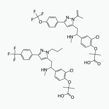 C=C(C)n1nc(-c2ccc(OC(F)(F)F)cc2)cc1CC(NC)c1ccc(OC(C)(C)C(=O)O)c(Cl)c1.CCCn1nc(-c2ccc(C(F)(F)F)cc2)cc1CC(NC)c1ccc(OC(C)(C)C(=O)O)c(Cl)c1